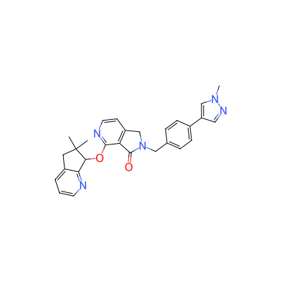 Cn1cc(-c2ccc(CN3Cc4ccnc(OC5c6ncccc6CC5(C)C)c4C3=O)cc2)cn1